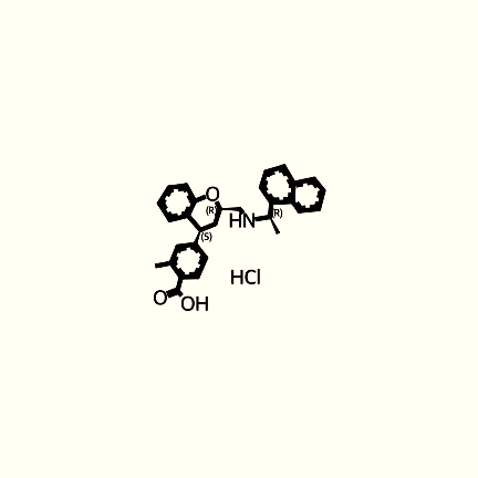 Cc1cc([C@@H]2C[C@H](CN[C@H](C)c3cccc4ccccc34)Oc3ccccc32)ccc1C(=O)O.Cl